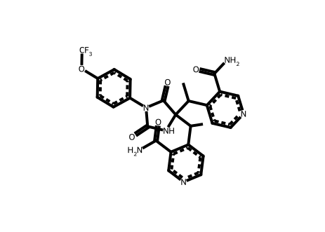 CC(c1ccncc1C(N)=O)C1(C(C)c2ccncc2C(N)=O)NC(=O)N(c2ccc(OC(F)(F)F)cc2)C1=O